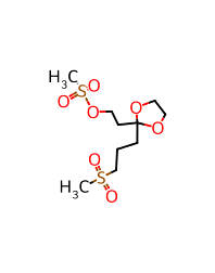 CS(=O)(=O)CCCC1(CCOS(C)(=O)=O)OCCO1